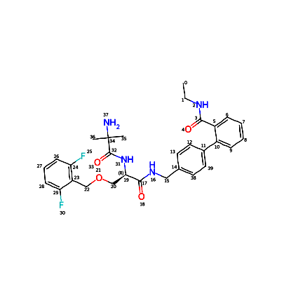 CCNC(=O)c1ccccc1-c1ccc(CNC(=O)[C@@H](COCc2c(F)cccc2F)NC(=O)C(C)(C)N)cc1